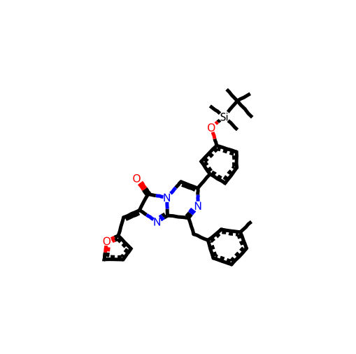 Cc1cccc(CC2=NC(c3cccc(O[Si](C)(C)C(C)(C)C)c3)=CN3C(=O)/C(=C/c4ccco4)N=C23)c1